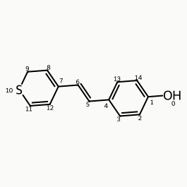 Oc1ccc(/C=C/C2=CCSC=C2)cc1